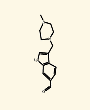 CN1CCN(Cc2c[nH]c3cc(C=O)ccc23)CC1